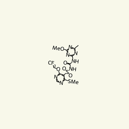 COc1nc(C)nc(NC(=O)NS(=O)(=O)c2c(OCC(F)(F)F)ncnc2SC)n1